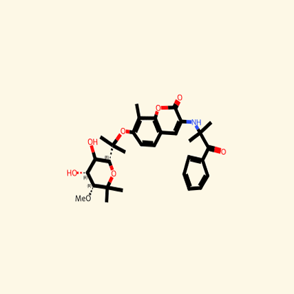 CO[C@@H]1[C@H](O)C(O)[C@H](C(C)(C)Oc2ccc3cc(NC(C)(C)C(=O)c4ccccc4)c(=O)oc3c2C)OC1(C)C